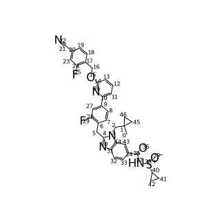 CC1(Cn2c(Cc3ccc(-c4cccc(OCc5ccc(C#N)cc5F)n4)cc3F)nc3ccc(C(=O)N[S+]([O-])C4CC4)cc32)CC1